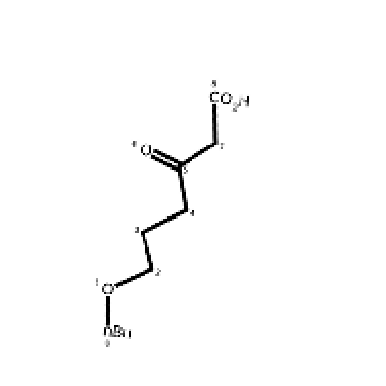 CCCCOCCCC(=O)CC(=O)O